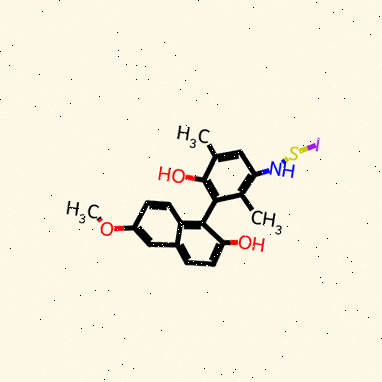 COc1ccc2c(-c3c(C)c(NSI)cc(C)c3O)c(O)ccc2c1